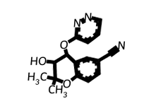 CC1(C)Oc2ccc(C#N)cc2C(Oc2cccnn2)C1O